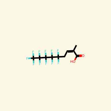 CC(=CCC(F)(F)C(F)(F)C(F)(F)C(F)(F)C(F)(F)F)C(=O)O